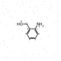 Nc1ccccc1[CH]O